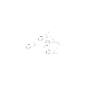 CC(C)(C)C1Oc2ccccc2N=C1N.CC1Oc2ccc(C(C)(C)C)cc2N=C1N.CCC1Sc2ccccc2N=C1N.CCCCC1Oc2ccccc2N=C1N